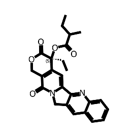 CCC(C)C(=O)O[C@]1(CC)C(=O)OCc2c1cc1n(c2=O)Cc2cc3ccccc3nc2-1